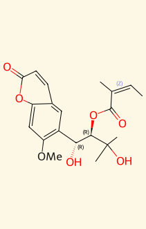 C/C=C(/C)C(=O)O[C@H]([C@H](O)c1cc2ccc(=O)oc2cc1OC)C(C)(C)O